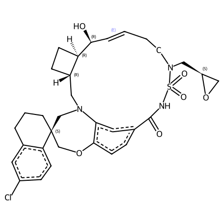 O=C1NS(=O)(=O)N(C[C@H]2CO2)CC/C=C/[C@H](O)[C@@H]2CC[C@H]2CN2C[C@@]3(CCCc4cc(Cl)ccc43)COc3ccc1cc32